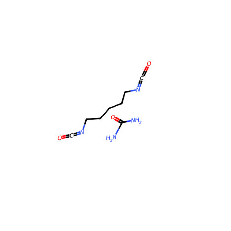 NC(N)=O.O=C=NCCCCCN=C=O